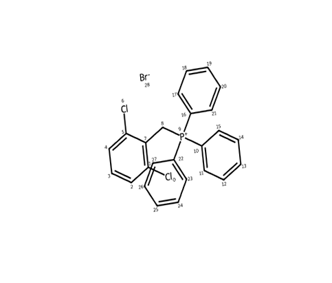 Clc1cccc(Cl)c1C[P+](c1ccccc1)(c1ccccc1)c1ccccc1.[Br-]